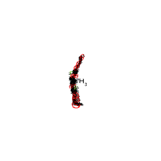 CC1c2cc(OC(=O)c3ccc(OCOCC4CO4)cc3F)ccc2-c2ccc(OC(=O)c3ccc(OCOCC4CO4)cc3F)cc21